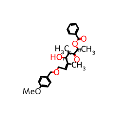 COc1ccc(COCC=C(C)[C@@H](O)[C@@H](C)C(=O)[C@H](C)OC(=O)c2ccccc2)cc1